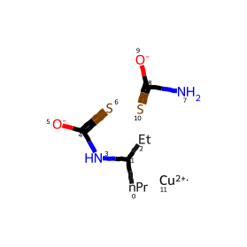 CCCC(CC)NC([O-])=S.NC([O-])=S.[Cu+2]